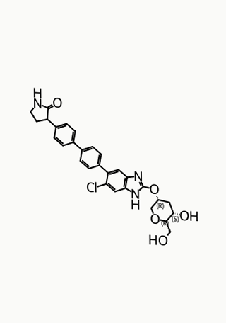 O=C1NCCC1c1ccc(-c2ccc(-c3cc4nc(O[C@H]5CO[C@H](CO)[C@@H](O)C5)[nH]c4cc3Cl)cc2)cc1